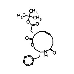 CC(C)(C)OC(=O)C[C@@H]1CC=CCCC(=O)N[C@H](Cc2ccccc2)COC1=O